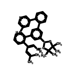 C=N/C=C(\C=C(C)C)c1ccccc1-c1cc(B2OC(C)(C)C(C)(C)O2)cc(-c2ccccc2-c2cncc(C)c2)c1